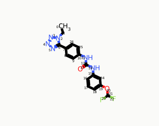 CCn1nnnc1-c1ccc(NC(=O)Nc2cccc(OC(F)F)c2)cc1